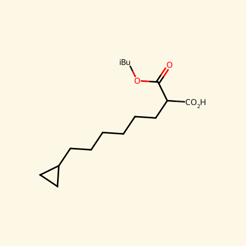 CCC(C)OC(=O)C(CCCCCCC1CC1)C(=O)O